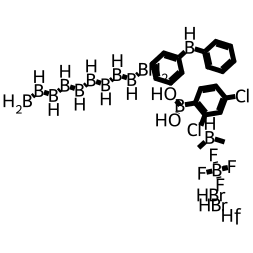 B(c1ccccc1)c1ccccc1.BBBBBBBBBB.Br.Br.CBC.F[B-](F)(F)F.OB(O)c1ccc(Cl)cc1Cl.[Hf]